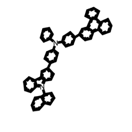 c1ccc(N(c2ccc(-c3ccc4c5ccccc5c5ccccc5c4c3)cc2)c2ccc(-c3ccc4c(c3)c3ccccc3n4-c3cccc4ccccc34)cc2)cc1